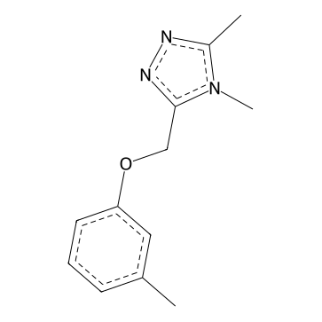 Cc1cccc(OCc2nnc(C)n2C)c1